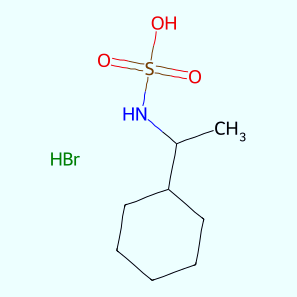 Br.CC(NS(=O)(=O)O)C1CCCCC1